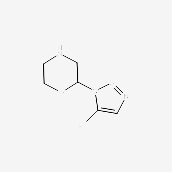 CCc1[c]nnn1C1CNCCO1